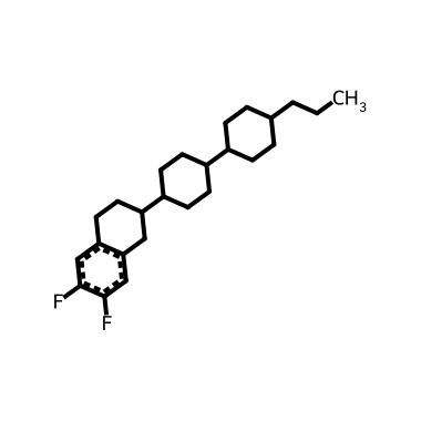 CCCC1CCC(C2CCC(C3CCc4cc(F)c(F)cc4C3)CC2)CC1